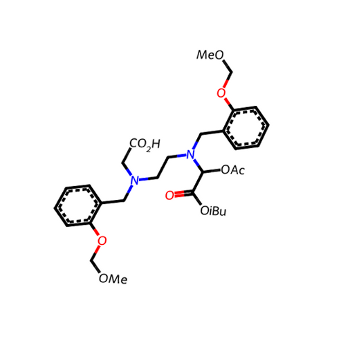 COCOc1ccccc1CN(CCN(Cc1ccccc1OCOC)C(OC(C)=O)C(=O)OCC(C)C)CC(=O)O